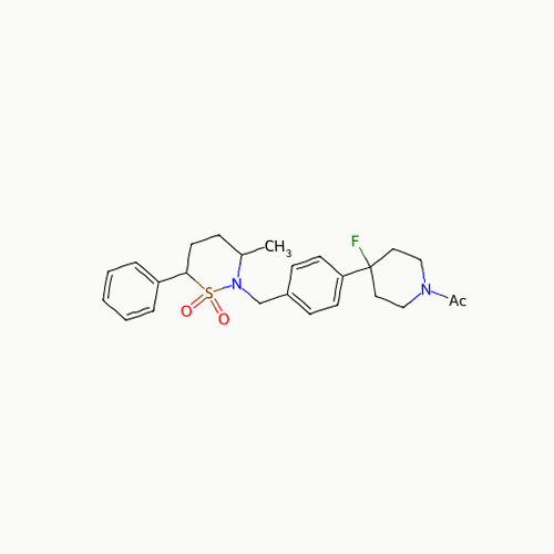 CC(=O)N1CCC(F)(c2ccc(CN3C(C)CCC(c4ccccc4)S3(=O)=O)cc2)CC1